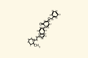 CC1CCCCN1CCn1ncc2cc(-n3ccc(OCc4ccccc4)cc3=O)ccc21